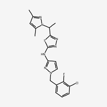 Cc1cc(C)n(C(C)c2nnc(Nc3ccn(Cc4cccc(Cl)c4F)n3)s2)n1